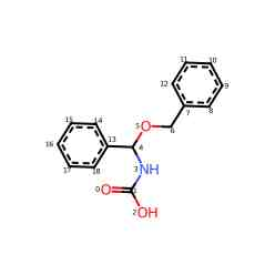 O=C(O)NC(OCc1ccccc1)c1ccccc1